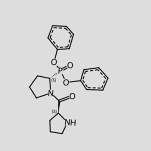 O=C([C@@H]1CCCN1)N1CCC[C@@H]1P(=O)(Oc1ccccc1)Oc1ccccc1